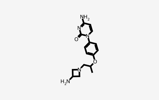 CC(CN1CC(N)C1)Oc1ccc(-n2ccc(N)nc2=O)cc1